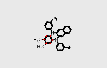 Cc1cccc(N(c2cccc(C(C)C)c2)c2cc3ccccc3cc2N(c2cccc(C)c2)c2cccc(C(C)C)c2)c1